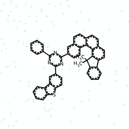 CC1(C)c2ccccc2-c2ccc3ccc4ccc5cc(-c6nc(-c7ccccc7)nc(-c7ccc8sc9ccccc9c8c7)n6)ccc5c4c3c21